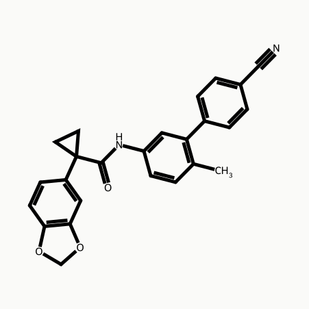 Cc1ccc(NC(=O)C2(c3ccc4c(c3)OCO4)CC2)cc1-c1ccc(C#N)cc1